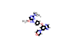 COc1cnc(N(C)C)nc1N[C@H]1CC[C@@H](Oc2cc(N3CCOCC3)cc3nccnc23)CC1